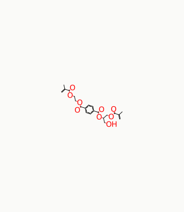 C=C(C)C(=O)OCCOC(=O)c1ccc(C(=O)OC(CO)COC(=O)C(=C)C)cc1